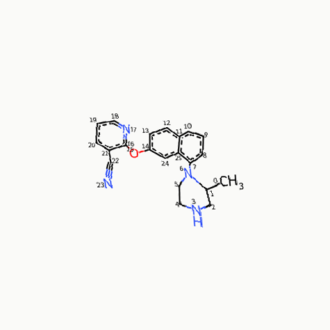 CC1CNCCN1c1cccc2ccc(Oc3ncccc3C#N)cc12